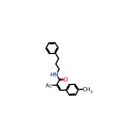 CC(=O)C(=Cc1ccc(C)cc1)C(=O)NCCCc1ccccc1